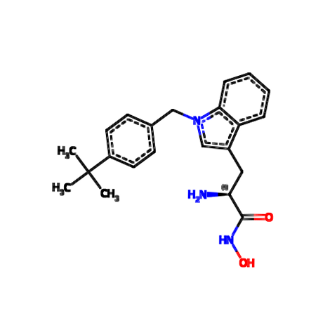 CC(C)(C)c1ccc(Cn2cc(C[C@H](N)C(=O)NO)c3ccccc32)cc1